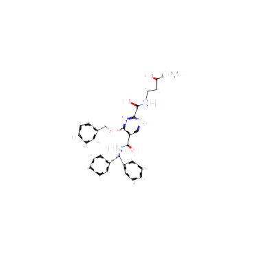 COC(=O)CCNC(=O)c1ncc(C(=O)NC(c2ccccc2)c2ccccc2)c(OCc2ccccc2)n1